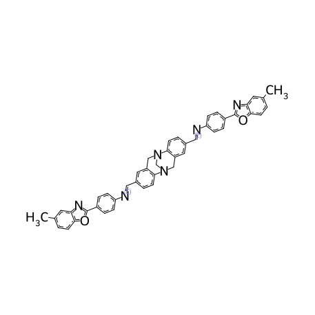 Cc1ccc2oc(-c3ccc(/N=C/c4ccc5c(c4)CN4CN5Cc5cc(/C=N/c6ccc(-c7nc8cc(C)ccc8o7)cc6)ccc54)cc3)nc2c1